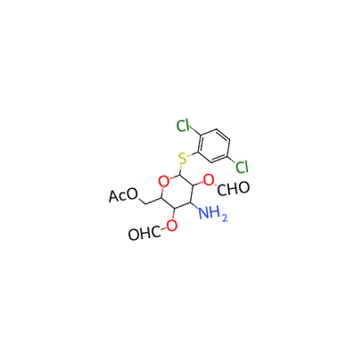 CC(=O)OCC1OC(Sc2cc(Cl)ccc2Cl)C(OC=O)C(N)C1OC=O